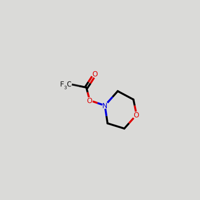 O=C(ON1CCOCC1)C(F)(F)F